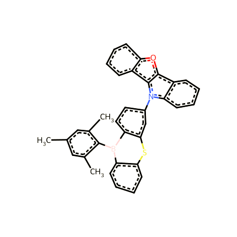 Cc1cc(C)c(B2c3ccccc3Sc3cc(-n4c5ccccc5c5oc6ccccc6c54)ccc32)c(C)c1